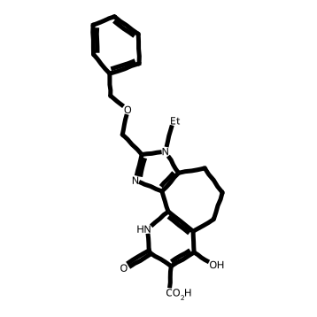 CCn1c(COCc2ccccc2)nc2c1CCCc1c-2[nH]c(=O)c(C(=O)O)c1O